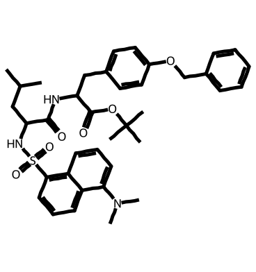 CC(C)CC(NS(=O)(=O)c1cccc2c(N(C)C)cccc12)C(=O)NC(Cc1ccc(OCc2ccccc2)cc1)C(=O)OC(C)(C)C